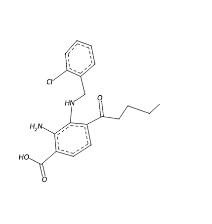 CCCCC(=O)c1ccc(C(=O)O)c(N)c1NCc1ccccc1Cl